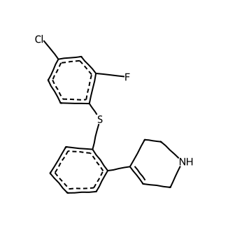 Fc1cc(Cl)ccc1Sc1ccccc1C1=CCNCC1